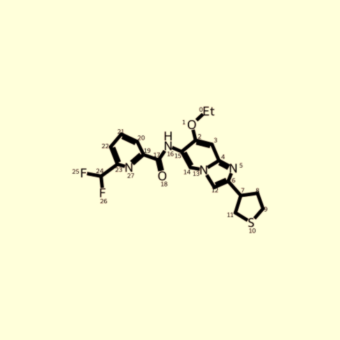 CCOc1cc2nc(C3CCSC3)cn2cc1NC(=O)c1cccc(C(F)F)n1